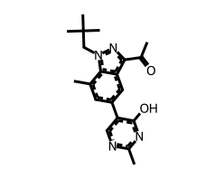 CC(=O)c1nn(CC(C)(C)C)c2c(C)cc(-c3cnc(C)nc3O)cc12